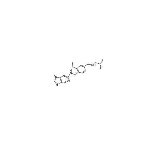 CCc1cc(CNCC(F)F)ccc1CNc1cc2c(cn1)ncn2C